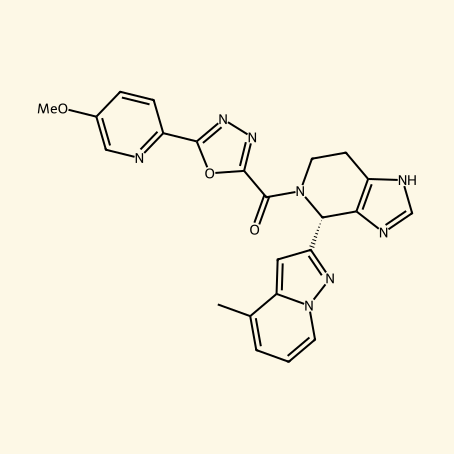 COc1ccc(-c2nnc(C(=O)N3CCc4[nH]cnc4[C@@H]3c3cc4c(C)cccn4n3)o2)nc1